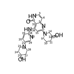 O=c1[nH]ccc2nc(N3CCC[C@H](O)C3)cc(Nc3ccc(N4CCC(O)CC4)cn3)c12